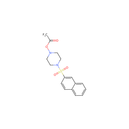 O=C(ON1CCN(S(=O)(=O)c2ccc3ccccc3c2)CC1)C(F)(F)F